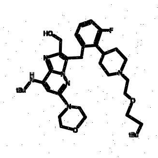 CC(C)(C)CCOCCN1CCC(c2c(F)cccc2Cc2c(CO)nc3c(NC(C)(C)C)cc(N4CCOCC4)nn23)CC1